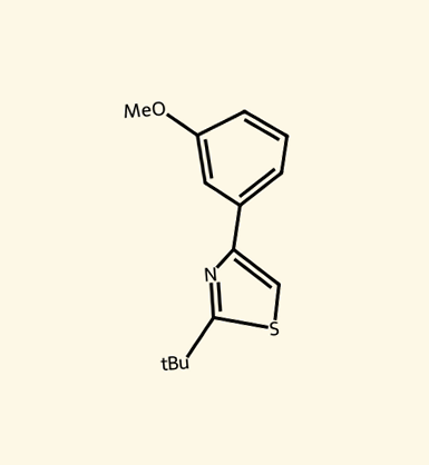 COc1cccc(-c2csc(C(C)(C)C)n2)c1